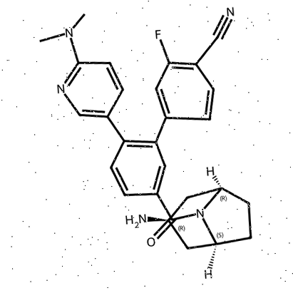 CN(C)c1ccc(-c2ccc(C(=O)N3[C@@H]4CC[C@H]3C[C@@H](N)C4)cc2-c2ccc(C#N)c(F)c2)cn1